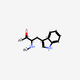 CCC(C)NC(Cc1c[nH]c2ccccc12)C(=O)C(C)C